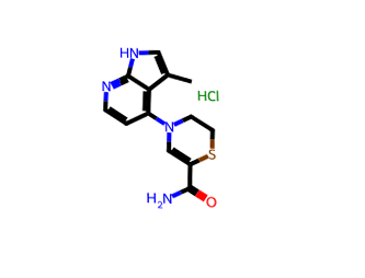 Cc1c[nH]c2nccc(N3C=C(C(N)=O)SCC3)c12.Cl